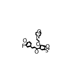 COc1ccc(/C=C/C(=O)c2cc3c(cc2OCCN2CCOCC2)OCS3)cc1F